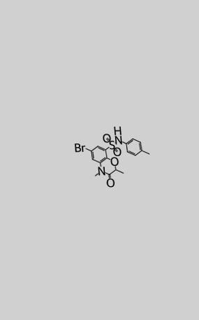 Cc1ccc(NS(=O)(=O)c2cc(Br)cc3c2OC(C)C(=O)N3C)cc1